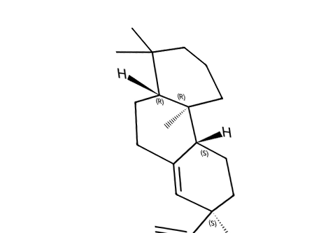 C=C[C@@]1(C)C=C2CC[C@@H]3C(C)(C)CCC[C@@]3(C)[C@@H]2CC1